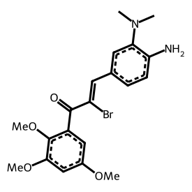 COc1cc(OC)c(OC)c(C(=O)C(Br)=Cc2ccc(N)c(N(C)C)c2)c1